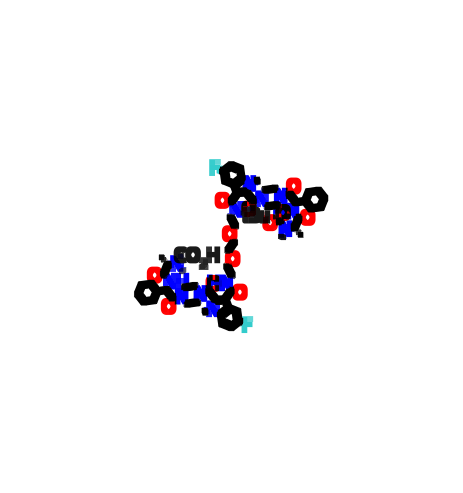 C[C@@H](C(=O)N[C@H](C(=O)N1CCN(C(=O)c2c(C(=O)NCCOCCOCCNC(=O)c3c(C(=O)N4CCN(C(=O)[C@@H](NC(=O)[C@H](C)N(C)C(=O)OC(C)(C)C)C5CCCCC5)CC4)n(C)c4ccc(F)cc34)c3cc(F)ccc3n2C)CC1)C1CCCCC1)N(C)C(=O)O